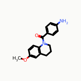 COc1ccc2c(c1)CCCN2C(=O)c1ccc(N)cc1